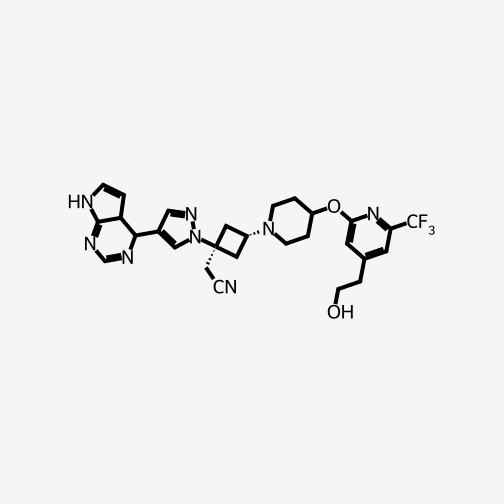 N#CC[C@]1(n2cc(C3N=CN=C4NC=CC43)cn2)C[C@H](N2CCC(Oc3cc(CCO)cc(C(F)(F)F)n3)CC2)C1